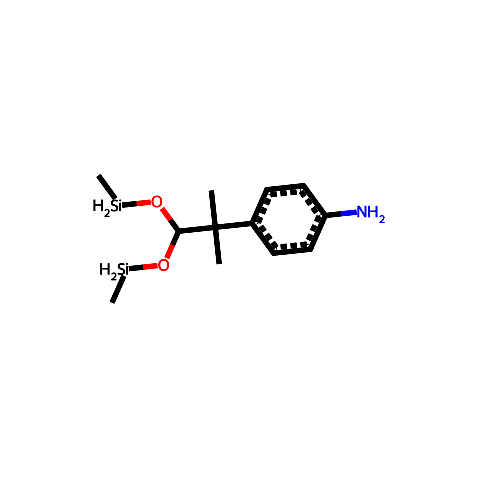 C[SiH2]OC(O[SiH2]C)C(C)(C)c1ccc(N)cc1